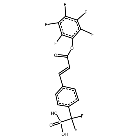 O=C(/C=C/c1ccc(C(F)(F)P(=O)(O)O)cc1)Oc1c(F)c(F)c(F)c(F)c1F